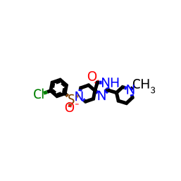 CN1CCCC(C2=NC3(CCN([S+]([O-])c4cccc(Cl)c4)CC3)C(=O)N2)C1